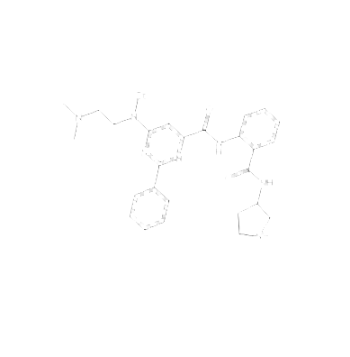 CCN(CCN(C)C)c1cc(C(=O)Nc2ccccc2C(=O)NC2CCNC2)nc(-c2ccccc2)n1